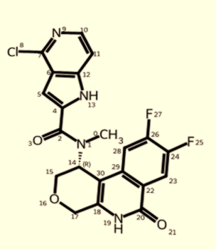 CN(C(=O)c1cc2c(Cl)nccc2[nH]1)[C@H]1COCc2[nH]c(=O)c3cc(F)c(F)cc3c21